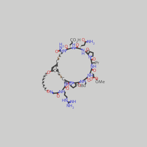 COOC(=O)C[C@@H]1NC(=O)[C@H](CC(C)(C)C)NC(=O)[C@@H]2CCCN2C(=O)[C@@H]2CSCc3cc(cc(c3)OCCCCCCO/N=C/C(=O)N[C@@H](CCCNC(=N)N)C(=O)N2)CSC[C@@H](C(N)=O)NC(=O)[C@H](CCC(=O)O)NC(=O)[C@H](CCC(N)=O)NC(=O)[C@@H]2CCCN2C(=O)C(C(C)C)NC1=O